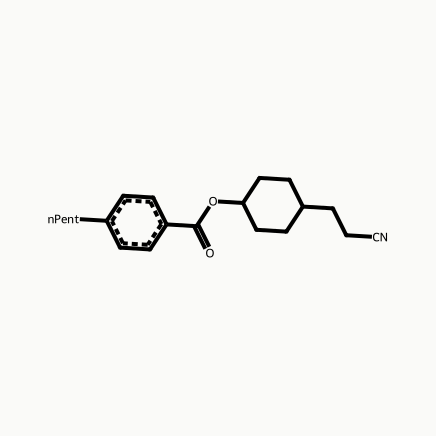 CCCCCc1ccc(C(=O)OC2CCC(CCC#N)CC2)cc1